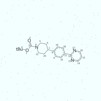 CC(C)(C)OC(=O)N1CCC(c2ccc(-c3ncccn3)cc2)CC1